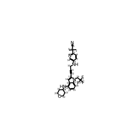 CC(C)(C#N)c1ccc(NCC#Cc2cc3c(NC4CCOCC4)cccc3n2CC(F)(F)F)cn1